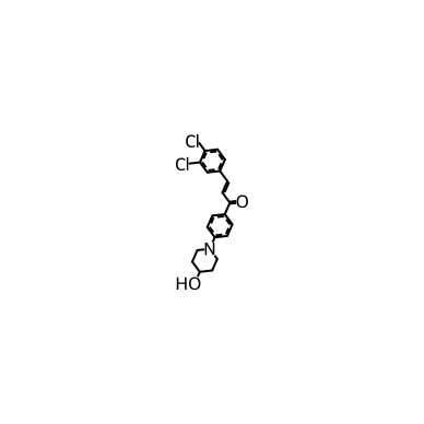 O=C(/C=C/c1ccc(Cl)c(Cl)c1)c1ccc(N2CCC(O)CC2)cc1